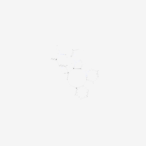 C=C(/C=C(\C)C1(C)CCc2ccccc2-c2cccc[n+]2C(=C)C1(C)[N+](=C)/C=C\C)N(C)C